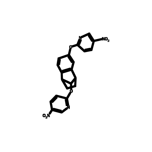 O=[N+]([O-])c1ccc(Oc2ccc3c(c2)C2CCC3C2Oc2ccc([N+](=O)[O-])cn2)nc1